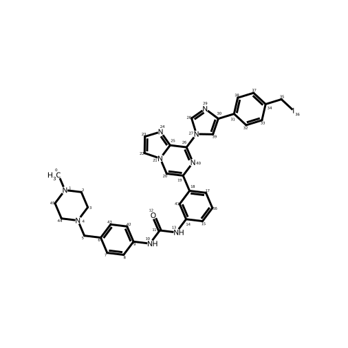 CN1CCN(Cc2ccc(NC(=O)Nc3cccc(-c4cn5ccnc5c(-n5cnc(-c6ccc(CI)cc6)c5)n4)c3)cc2)CC1